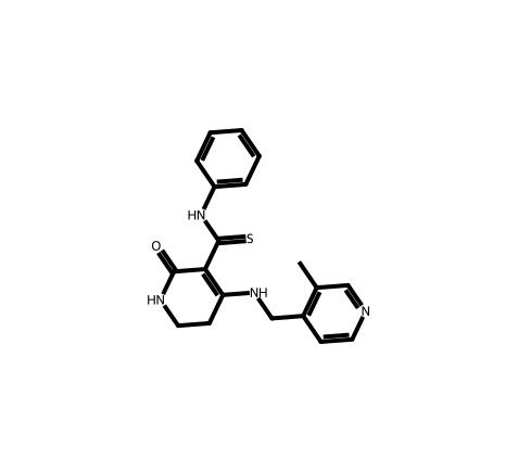 Cc1cnccc1CNC1=C(C(=S)Nc2ccccc2)C(=O)NCC1